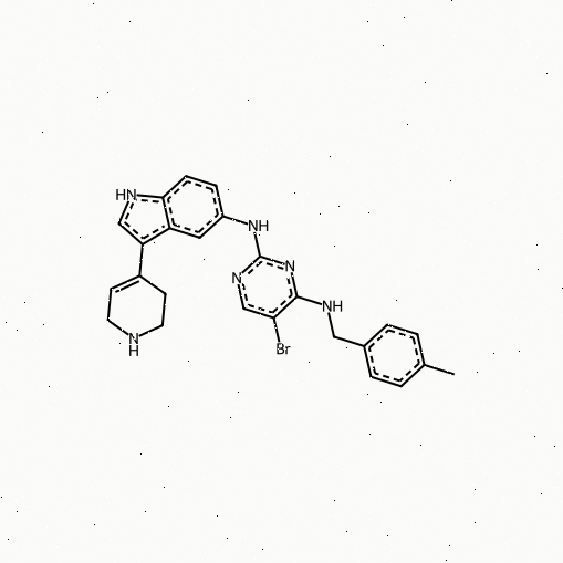 Cc1ccc(CNc2nc(Nc3ccc4[nH]cc(C5=CCNCC5)c4c3)ncc2Br)cc1